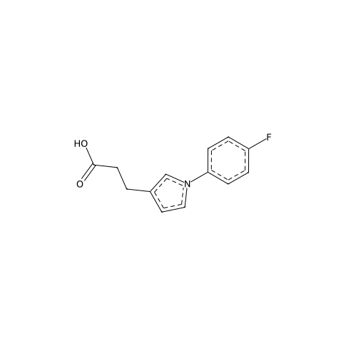 O=C(O)CCc1ccn(-c2ccc(F)cc2)c1